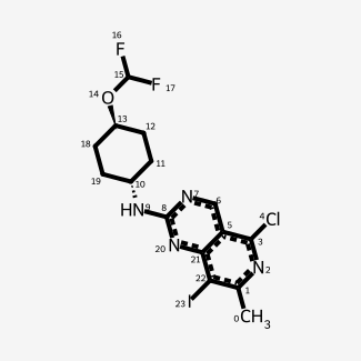 Cc1nc(Cl)c2cnc(N[C@H]3CC[C@H](OC(F)F)CC3)nc2c1I